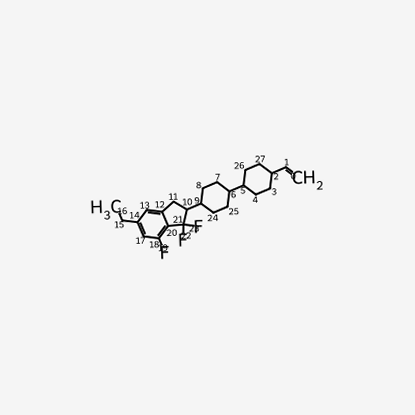 C=CC1CCC(C2CCC(C3Cc4cc(CC)cc(F)c4C3(F)F)CC2)CC1